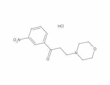 Cl.O=C(CCN1CCOCC1)c1cccc([N+](=O)[O-])c1